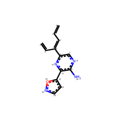 C=C/C=C(\C=C)c1cnc(N)c(-c2ccno2)n1